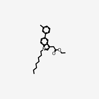 CCCCCCCCn1cc(CC(=O)OCC)c2cc(-c3cccc(C)c3)ccc21